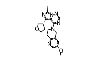 COc1cnc2c(c1)CN(c1ncnn3c(C)nc([C@@H]4CCOC4)c13)CC2